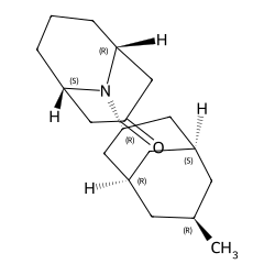 C[C@H]1C[C@@H]2C[C@H](C1)C[C@@H](N1[C@@H]3CCC[C@H]1CC(=O)C3)C2